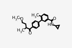 COCCC(C)C(=O)c1ccc(-c2cc(C(=O)NC3CC3)ccc2C)cc1